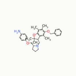 Cc1c(C)c2c(c(C)c1OCc1ccccc1)C(CN1CCC[C@H]1COc1ccc(N)cc1)C(C)(C)O2